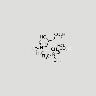 C[N+](C)(C)CC(=O)O.C[N+](C)(C)CC(O)CC(=O)O.Cl